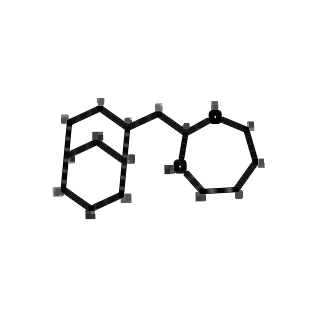 C1CCOC(CC2CCC3CCCC2C3)OC1